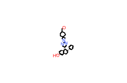 O=CC1CCC2(CC1)CN(c1ncc([C@H]3c4ccc(O)cc4CC[C@H]3c3ccccc3)cn1)C2